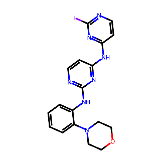 Ic1nccc(Nc2ccnc(Nc3ccccc3N3CCOCC3)n2)n1